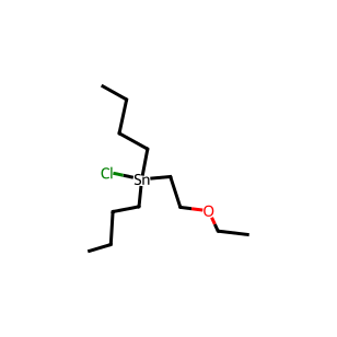 CCC[CH2][Sn]([Cl])([CH2]CCC)[CH2]COCC